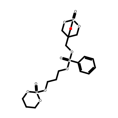 O=P1(OCCCOP(=O)(OCC23COP(=O)(OC2)OC3)c2ccccc2)OCCCO1